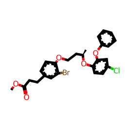 COC(=O)CCc1ccc(OCC[C@@H](C)Oc2ccc(Cl)cc2Oc2ccccc2)c(Br)c1